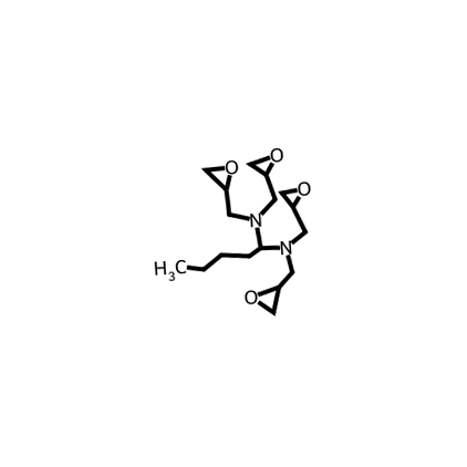 CCCCC(N(CC1CO1)CC1CO1)N(CC1CO1)CC1CO1